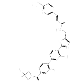 Nc1ccc(C=CC(=O)NCc2cnc(-c3ccc(-c4ccc(C(=O)N5CC(F)(F)C5)cc4F)cc3C(F)(F)F)o2)cn1